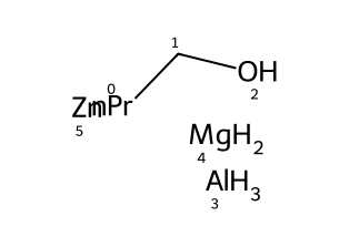 CCCCO.[AlH3].[MgH2].[Zn]